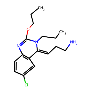 CCCOC1=Nc2ccc(Cl)cc2C(=CCCN)N1CCC